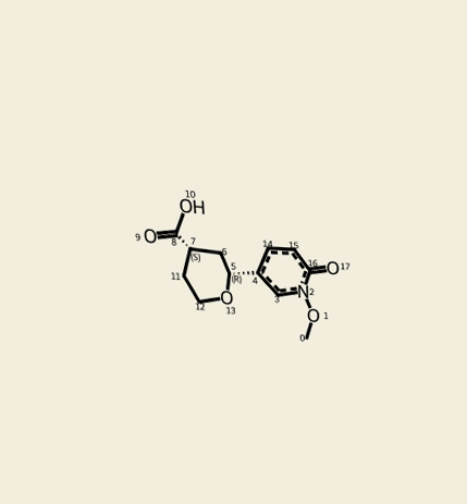 COn1cc([C@H]2C[C@@H](C(=O)O)CCO2)ccc1=O